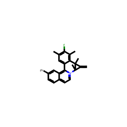 C=C1C2(C)c3c(cc(C)c(F)c3C)-c3c4cc(C(C)C)ccc4cc[n+]3C12C